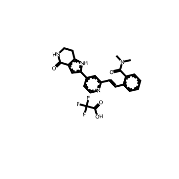 CN(C)C(=O)c1ccccc1C=Cc1cc(-c2cc3c([nH]2)CCNC3=O)ccn1.O=C(O)C(F)(F)F